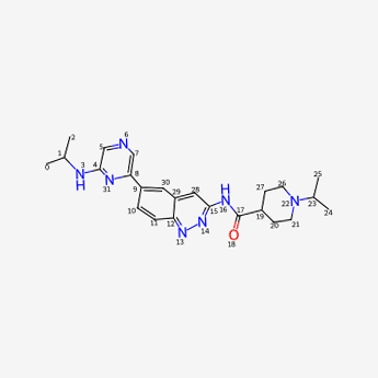 CC(C)Nc1cncc(-c2ccc3nnc(NC(=O)C4CCN(C(C)C)CC4)cc3c2)n1